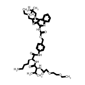 CCOCCOCC(=O)N[C@H](C(=O)N[C@@H](CCCCN)C(=O)Nc1ccc(COC(=O)Nc2nc3ccccc3c3c2nc(COCC)n3CC(C)(C)O)cc1)C(C)C